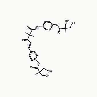 CC(CO)(CO)C(=O)Oc1ccc(/C=C/C(=O)C(C)(C)C(=O)/C=C/c2ccc(OC(=O)C(C)(CO)CO)cc2)cc1